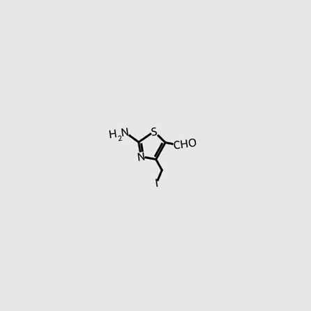 Nc1nc(CI)c(C=O)s1